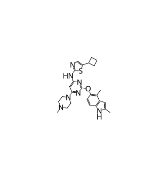 Cc1cc2c(C)c(Oc3nc(Nc4ncc(C5CCC5)s4)cc(N4CCN(C)CC4)n3)ccc2[nH]1